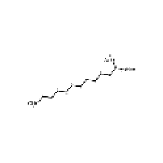 CCCCCCC(CCCCCCCCCC[C]=O)OC(C)=O